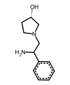 NC(CN1CC[C@H](O)C1)c1ccccc1